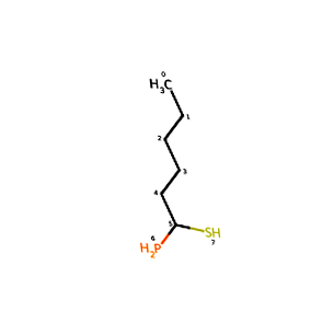 CCCCCC(P)S